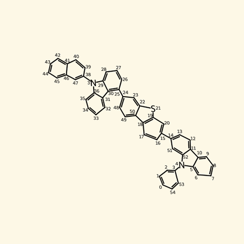 c1ccc(-n2c3ccccc3c3ccc(-c4ccc5c(c4)sc4cc(-c6cccc7c6c6ccccc6n7-c6ccc7ccccc7c6)ccc45)cc32)cc1